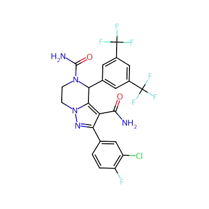 NC(=O)c1c(-c2ccc(F)c(Cl)c2)nn2c1C(c1cc(C(F)(F)F)cc(C(F)(F)F)c1)N(C(N)=O)CC2